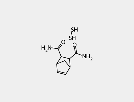 NC(=O)C1C2C=CC(C2)C1C(N)=O.SS